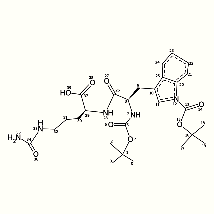 CC(C)(C)OC(=O)N[C@H](Cc1cn(C(=O)OC(C)(C)C)c2ccccc12)C(=O)N[C@@H](CCCNC(N)=O)C(=O)O